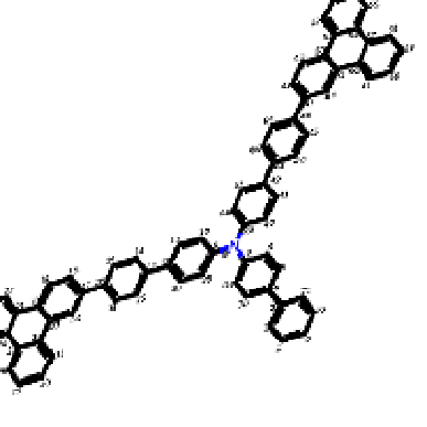 c1ccc(-c2ccc(N(c3ccc(-c4ccc(-c5ccc6c7ccccc7c7ccccc7c6c5)cc4)cc3)c3ccc(-c4ccc(-c5ccc6c7ccccc7c7ccccc7c6c5)cc4)cc3)cc2)cc1